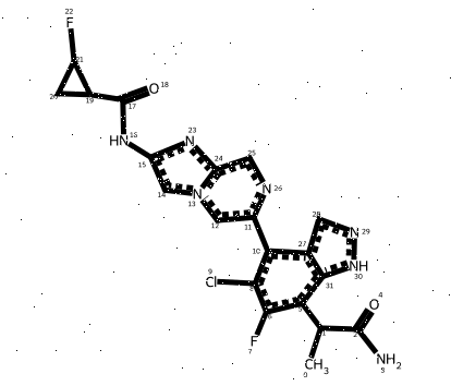 CC(C(N)=O)c1c(F)c(Cl)c(-c2cn3cc(NC(=O)C4CC4F)nc3cn2)c2cn[nH]c12